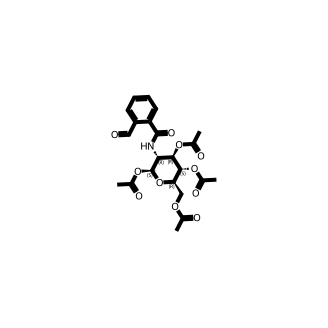 CC(=O)OC[C@H]1O[C@@H](OC(C)=O)[C@H](NC(=O)c2ccccc2C=O)[C@@H](OC(C)=O)[C@@H]1OC(C)=O